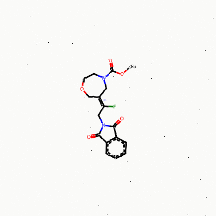 CC(C)(C)OC(=O)N1CCOC/C(=C(/F)CN2C(=O)c3ccccc3C2=O)C1